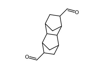 O=CC1CC2CC1C1C3CC(C=O)C(C3)C21